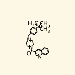 [CH3][Sn]([CH3])([CH3])[c]1ccc(CN2CCN(C(=O)c3cnc4ccccc4c3)CC2)cc1